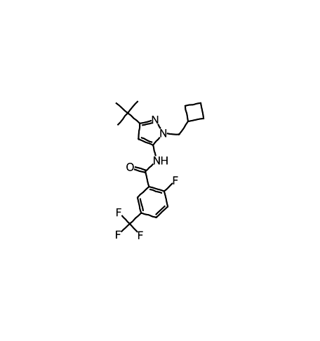 CC(C)(C)c1cc(NC(=O)c2cc(C(F)(F)F)ccc2F)n(CC2CCC2)n1